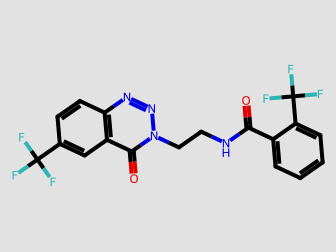 O=C(NCCn1nnc2ccc(C(F)(F)F)cc2c1=O)c1ccccc1C(F)(F)F